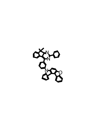 CC1(C)c2ccccc2-c2c(-c3cccc(-n4c5ccccc5c5c6c(ccc54)oc4ccccc46)c3)nc(-c3ccccc3)nc21